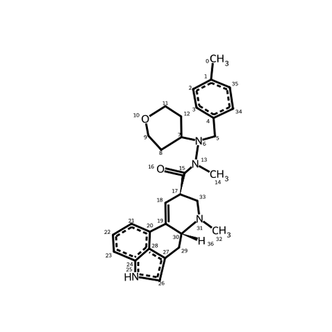 Cc1ccc(CN(C2CCOCC2)N(C)C(=O)[C@@H]2C=C3c4cccc5[nH]cc(c45)C[C@H]3N(C)C2)cc1